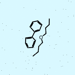 CCCCOCCCC.c1ccc(-c2ccccc2)cc1